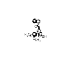 COc1ccc(S(=O)(=O)C(CCCC(=O)N2CCCc3ccccc32)CC(=O)O)cc1OC